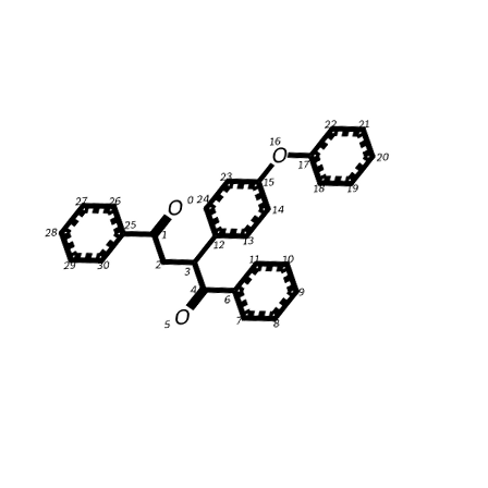 O=C(CC(C(=O)c1ccccc1)c1ccc(Oc2ccccc2)cc1)c1ccccc1